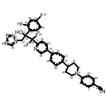 N#Cc1ccc(N2CCC(c3ccc(-c4ccc(C(F)(F)C(O)(Cn5cnnn5)c5ccc(F)cc5F)nc4)cc3)CC2)cc1